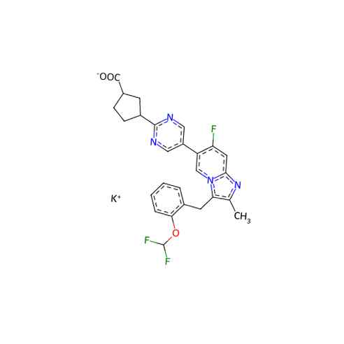 Cc1nc2cc(F)c(-c3cnc(C4CCC(C(=O)[O-])C4)nc3)cn2c1Cc1ccccc1OC(F)F.[K+]